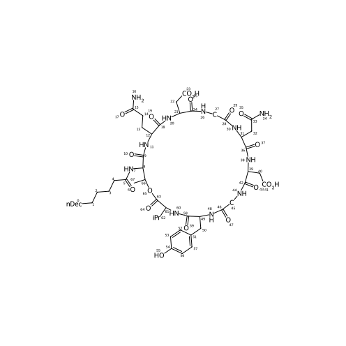 CCCCCCCCCCCCCCC(=O)NC1C(=O)NC(CCC(N)=O)C(=O)NC(CC(=O)O)C(=O)NCC(=O)NC(CC(N)=O)C(=O)NC(CC(=O)O)C(=O)NCC(=O)NC(Cc2ccc(O)cc2)C(=O)NC(C(C)C)C(=O)OC1C